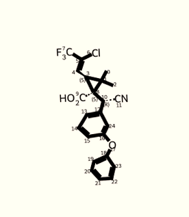 CC1(C)[C@H](C=C(Cl)C(F)(F)F)[C@]1(C(=O)O)[C@H](C#N)c1cccc(Oc2ccccc2)c1